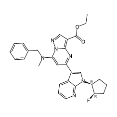 CCOC(=O)c1cnn2c(N(C)Cc3ccccc3)cc(-c3cn([C@H]4CCC[C@H]4F)c4ncccc34)nc12